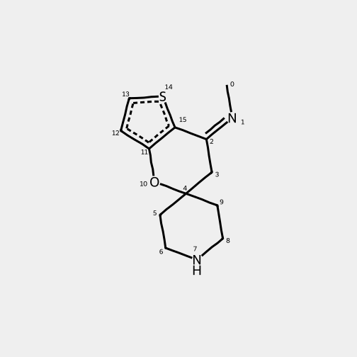 C/N=C1/CC2(CCNCC2)Oc2ccsc21